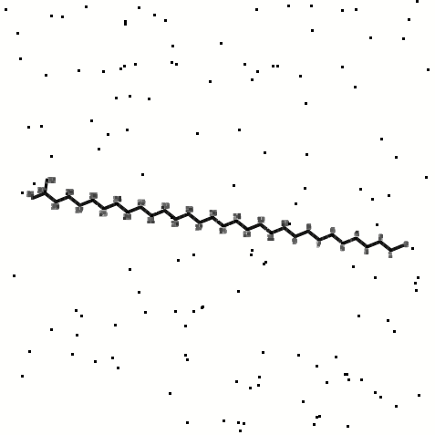 CCCCCCCCCCCCCCCCCCCCCCCCCCCCCCC(C)C